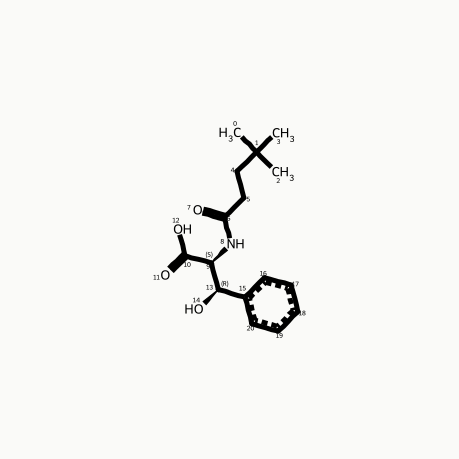 CC(C)(C)CCC(=O)N[C@H](C(=O)O)[C@H](O)c1ccccc1